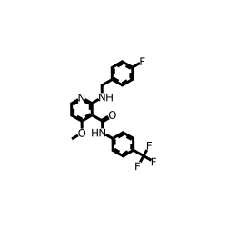 COc1ccnc(NCc2ccc(F)cc2)c1C(=O)Nc1ccc(C(F)(F)F)cc1